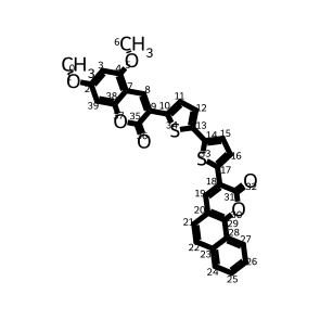 COc1cc(OC)c2cc(-c3ccc(-c4ccc(-c5cc6ccc7ccccc7c6oc5=O)s4)s3)c(=O)oc2c1